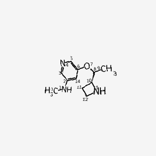 CNc1cncc(OC(C)[C@@H]2CCN2)c1